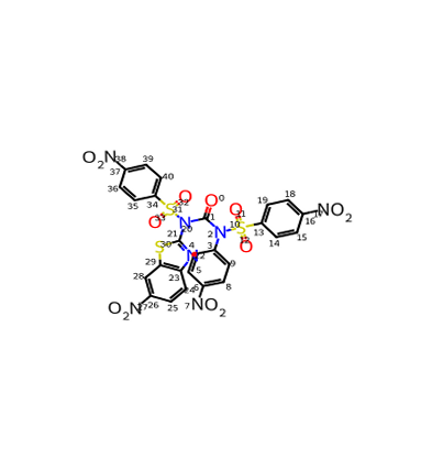 O=C(N(c1ccc([N+](=O)[O-])cc1)S(=O)(=O)c1ccc([N+](=O)[O-])cc1)N(c1nc2ccc([N+](=O)[O-])cc2s1)S(=O)(=O)c1ccc([N+](=O)[O-])cc1